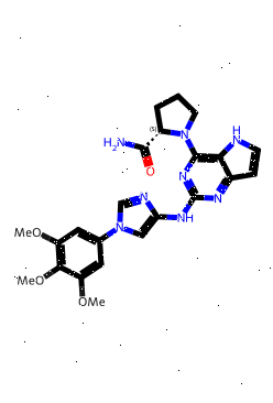 COc1cc(-n2cnc(Nc3nc(N4CCC[C@H]4C(N)=O)c4[nH]ccc4n3)c2)cc(OC)c1OC